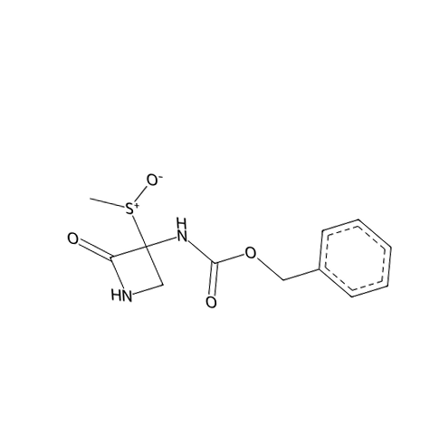 C[S+]([O-])C1(NC(=O)OCc2ccccc2)CNC1=O